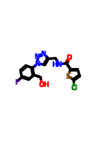 O=C(NCc1cn(-c2ccc(I)cc2CO)nn1)c1ccc(Cl)s1